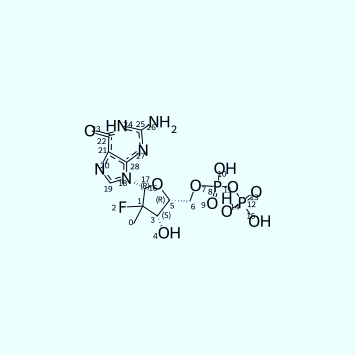 CC1(F)[C@@H](O)[C@@H](COP(=O)(O)OP(=O)(O)O)O[C@H]1n1cnc2c(=O)[nH]c(N)nc21